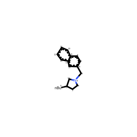 CCCCC1CCN(Cc2ccc3ccccc3c2)C1